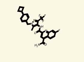 Cc1c(NC(=O)c2cc(C(N)=O)c3ccc(F)cc3n2)c(C(F)(F)F)nn1Cc1ccc(C2CCC2)cc1